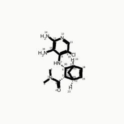 CN(C)C(=O)[C@@H]1[C@H](Nc2c(Cl)cnc(N)c2N)[C@H]2C=C[C@@H]1C2